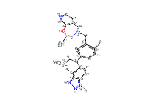 CC[C@@H]1CN(Cc2cc([C@H](CC(=O)O)c3ccc4c(nnn4C)c3C)ccc2C)Cc2ccncc2O1